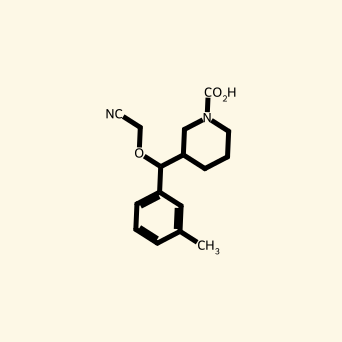 Cc1cccc(C(OCC#N)C2CCCN(C(=O)O)C2)c1